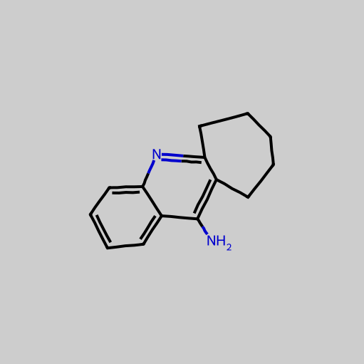 Nc1c2c(nc3ccccc13)CCCCC2